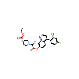 CCOC(=O)[C@H]1CCN(C(=O)C(C)Oc2ccc3c(-c4ccc(F)cc4Cl)ccnc3c2)C1